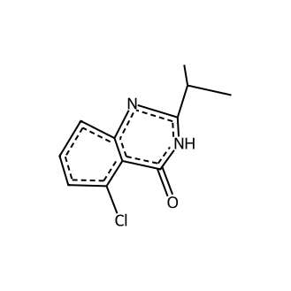 CC(C)c1nc2cccc(Cl)c2c(=O)[nH]1